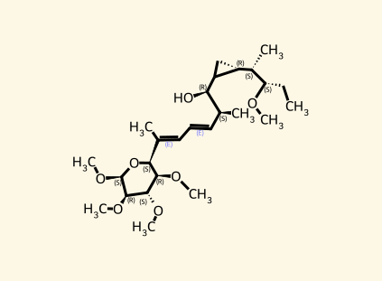 CC[C@H](OC)[C@@H](C)[C@H]1CC1[C@H](O)[C@@H](C)/C=C/C=C(\C)[C@@H]1O[C@H](OC)[C@H](OC)[C@@H](OC)[C@@H]1OC